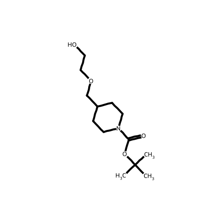 CC(C)(C)OC(=O)N1CCC(COCCO)CC1